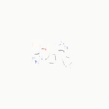 O=C(O)c1cnnn1-c1ccc(-c2ccccc2-c2ccn[nH]2)cc1